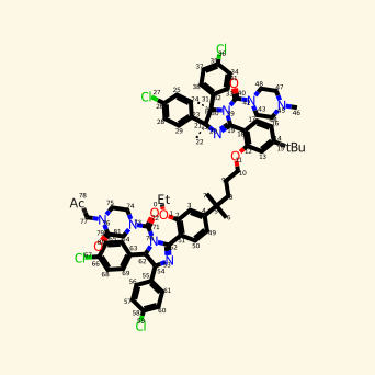 CCOc1cc(C(C)(C)CCCOc2cc(C(C)(C)C)ccc2C2=N[C@@](C)(c3ccc(Cl)cc3)[C@@](C)(c3ccc(Cl)cc3)N2C(=O)N2CCN(C)CC2)ccc1C1=NC(c2ccc(Cl)cc2)C(c2ccc(Cl)cc2)N1C(=O)N1CCN(CC(C)=O)C(=O)C1